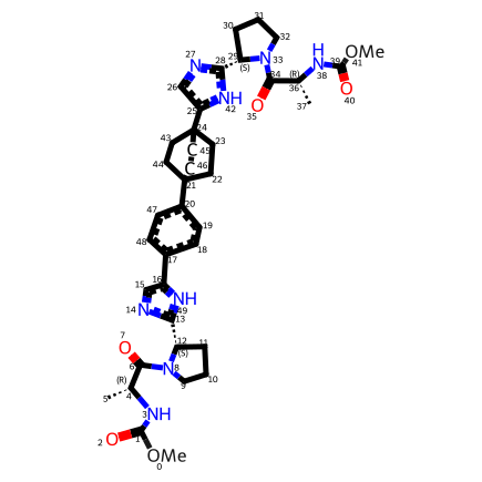 COC(=O)N[C@H](C)C(=O)N1CCC[C@H]1c1ncc(-c2ccc(C34CCC(c5cnc([C@@H]6CCCN6C(=O)[C@@H](C)NC(=O)OC)[nH]5)(CC3)CC4)cc2)[nH]1